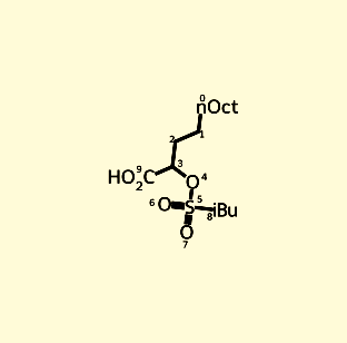 CCCCCCCCCCC(OS(=O)(=O)C(C)CC)C(=O)O